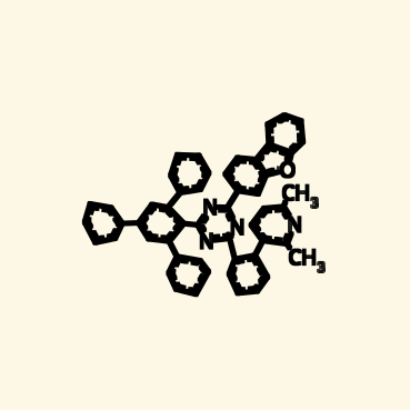 Cc1ccc(-c2ccccc2-c2nc(-c3ccc4c(c3)oc3ccccc34)nc(-c3c(-c4ccccc4)cc(-c4ccccc4)cc3-c3ccccc3)n2)c(C)n1